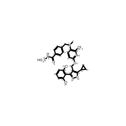 CN(Cc1ccc(C(=O)NS(=O)(=O)O)cc1)c1ccc(OCc2c(-c3c(Cl)cccc3Cl)noc2C2CC2)nc1C(F)(F)F